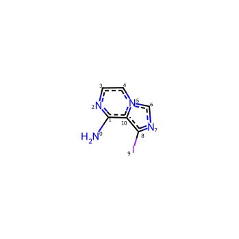 Nc1nccn2cnc(I)c12